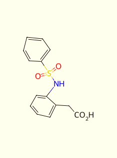 O=C(O)Cc1ccccc1NS(=O)(=O)c1ccccc1